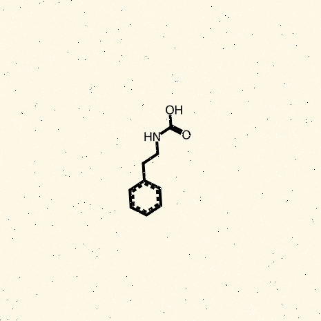 O=C(O)NCCc1ccccc1